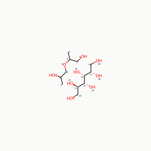 CC(O)COC(C)CO.OC[C@@H](O)[C@@H](O)[C@H](O)[C@@H](O)CO